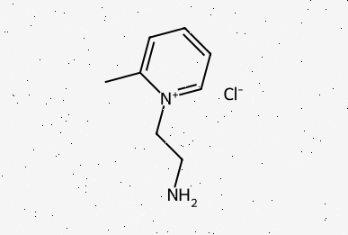 Cc1cccc[n+]1CCN.[Cl-]